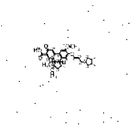 COc1cc2c(cc1OCCCN1CCCC1)[C@@H]1CCC(C)(C)[C@@H]1n1cc(C(=O)O)c(=O)cc1-2